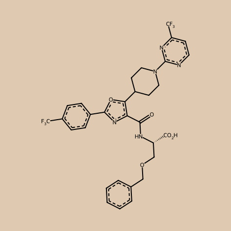 O=C(N[C@@H](COCc1ccccc1)C(=O)O)c1nc(-c2ccc(C(F)(F)F)cc2)oc1C1CCN(c2nccc(C(F)(F)F)n2)CC1